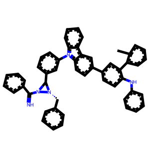 Cc1ccccc1-c1cc(-c2ccc3c(c2)c2ccccc2n3-c2cccc(C3N(C(=N)c4ccccc4)[N@@]3Cc3ccccc3)c2)ccc1Nc1ccccc1